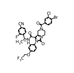 C[C@H](NC(=O)c1c2n(c(=O)n1-c1ccc(OCC(F)(F)F)cc1)CCN(C(=O)c1ccc(Br)c(Cl)c1)C2)c1ccc(C#N)cc1F